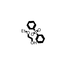 CCOCCO.O=S(=O)(c1ccccc1)c1ccccc1